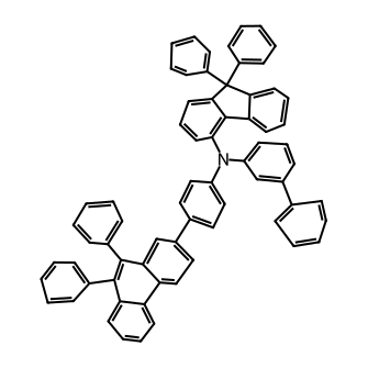 c1ccc(-c2cccc(N(c3ccc(-c4ccc5c(c4)c(-c4ccccc4)c(-c4ccccc4)c4ccccc45)cc3)c3cccc4c3-c3ccccc3C4(c3ccccc3)c3ccccc3)c2)cc1